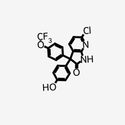 O=C1Nc2nc(Cl)ccc2C1(c1ccc(O)cc1)c1ccc(OC(F)(F)F)cc1